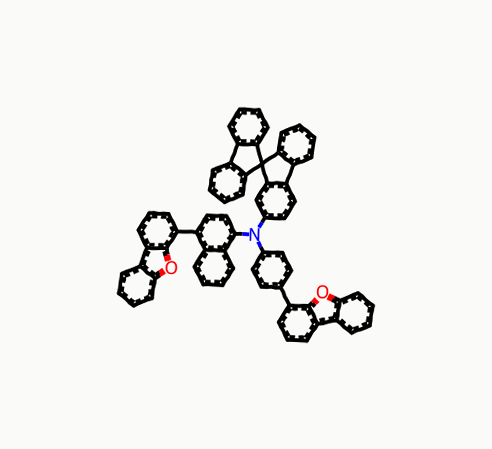 c1ccc2c(c1)-c1ccccc1C21c2ccccc2-c2ccc(N(c3ccc(-c4cccc5c4oc4ccccc45)cc3)c3ccc(-c4cccc5c4oc4ccccc45)c4ccccc34)cc21